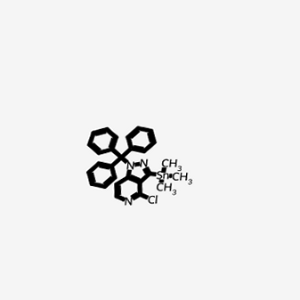 [CH3][Sn]([CH3])([CH3])[c]1nn(C(c2ccccc2)(c2ccccc2)c2ccccc2)c2ccnc(Cl)c12